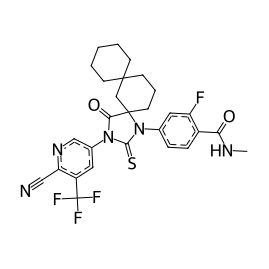 CNC(=O)c1ccc(N2C(=S)N(c3cnc(C#N)c(C(F)(F)F)c3)C(=O)C23CCCC2(CCCCC2)C3)cc1F